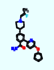 CC(F)=CN1CCC(c2ccc(C(N)=O)c(-c3ccc(Oc4ccccc4)cn3)c2)CC1